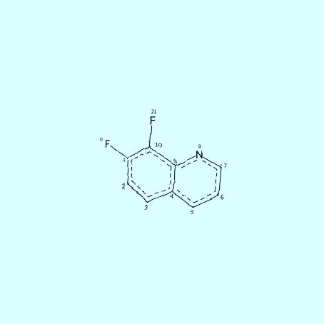 Fc1ccc2cc[c]nc2c1F